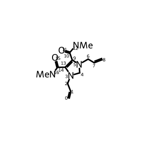 C=CCN1CN(CC=C)C(C(=O)NC)=C1C(=O)NC